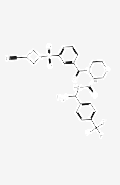 CC(NC(=O)[C@H]1COCCN1C(=O)c1cccc(S(=O)(=O)N2CC(C#N)C2)c1)c1ccc(C(F)(F)F)cc1